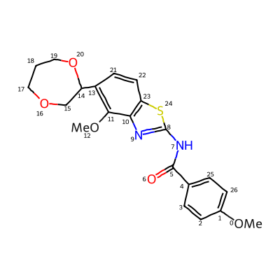 COc1ccc(C(=O)Nc2nc3c(OC)c(C4COCCCO4)ccc3s2)cc1